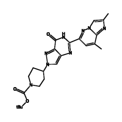 Cc1cn2nc(-c3nc4cn(C5CCN(C(=O)OC(C)(C)C)CC5)nc4c(=O)[nH]3)cc(C)c2n1